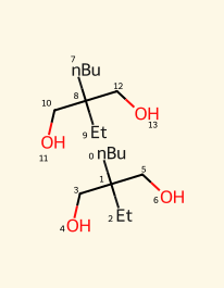 CCCCC(CC)(CO)CO.CCCCC(CC)(CO)CO